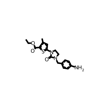 CCOC(=O)c1sc(N2CCN(Cc3ccc(N)cc3)C2=O)cc1C